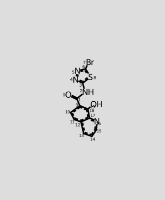 O=C(Nc1nnc(Br)s1)c1ccc2cccnc2c1O